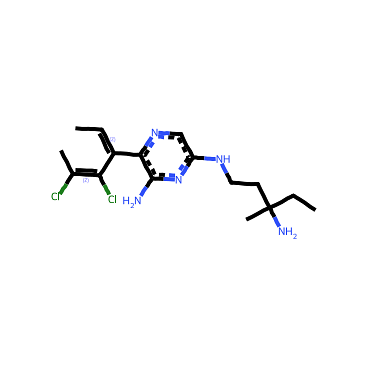 C/C=C(\C(Cl)=C(/C)Cl)c1ncc(NCCC(C)(N)CC)nc1N